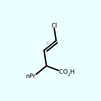 CCCC(/C=C/Cl)C(=O)O